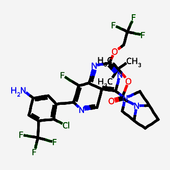 CC(C)(C)OC(=O)N1C2CCC1CN(c1nc(OCC(F)(F)F)nc3c(F)c(-c4cc(N)cc(C(F)(F)F)c4Cl)ncc13)C2